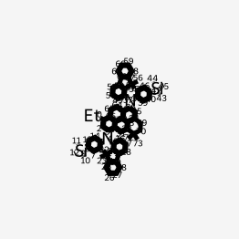 CCc1cc(N(c2ccc([Si](C)(C)C)cc2)c2cccc3c2C(C)(C)c2ccccc2-3)c2cc3c4c(cc(N(c5ccc([Si](C)(C)C)cc5)c5cccc6c5C(C)(C)c5ccccc5-6)c5ccc1c2c54)CCC3(C)C